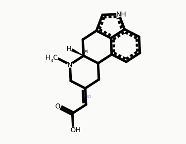 CN1C/C(=C\C(=O)O)CC2c3cccc4[nH]cc(c34)C[C@H]21